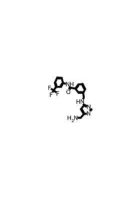 NCc1cc(NCc2cccc(C(=O)Nc3cccc(C(F)(F)F)c3)c2)ncn1